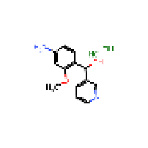 COc1cc(N)ccc1C(O)c1cccnc1.Cl.Cl